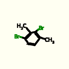 Cc1c[c]c(Br)c(C)c1Br